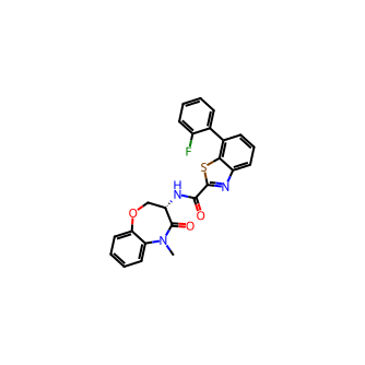 CN1C(=O)[C@@H](NC(=O)c2nc3cccc(-c4ccccc4F)c3s2)COc2ccccc21